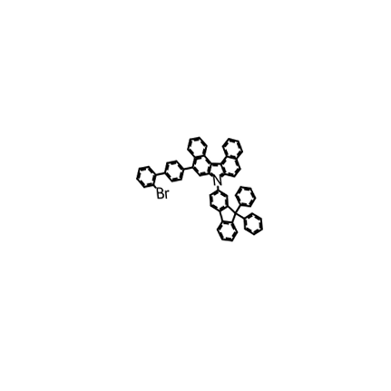 Brc1ccccc1-c1ccc(-c2cc3c(c4ccccc24)c2c4ccccc4ccc2n3-c2ccc3c(c2)C(c2ccccc2)(c2ccccc2)c2ccccc2-3)cc1